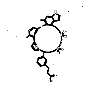 O=C(O)CCc1cccc(C2CCS(=O)(=O)CCS(=O)(=O)CCc3c(c(F)cc4[nH]ccc34)Oc3ccc(F)c(c3)-c3ccn2n3)c1